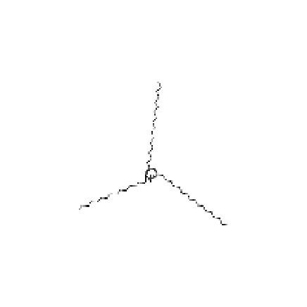 CCCCCCCCCCCCCCCCCc1cc(CCCCCCCCCCCCCCCCC)c[n+](CCCCCCCCCCCCCCC)c1